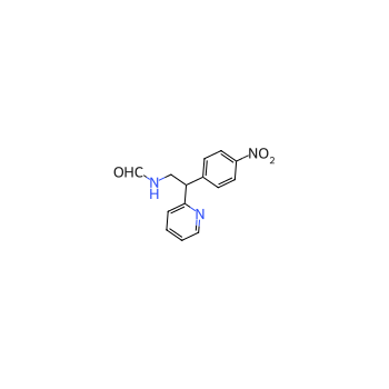 O=CNCC(c1ccc([N+](=O)[O-])cc1)c1ccccn1